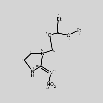 CCOC(CC)OCN1CCNC1=N[N+](=O)[O-]